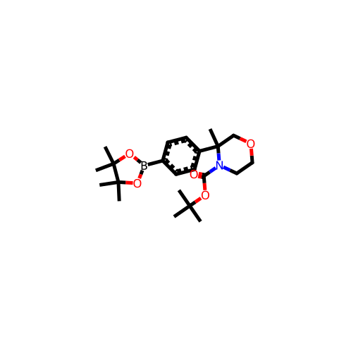 CC(C)(C)OC(=O)N1CCOCC1(C)c1ccc(B2OC(C)(C)C(C)(C)O2)cc1